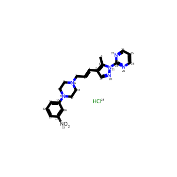 Cc1c(C=CCN2CCN(c3cccc([N+](=O)[O-])c3)CC2)cnn1-c1ncccn1.Cl